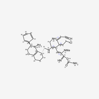 C#C\C=C/C(=C\CCl)C(/N=C(\NC)C(=N)OC(N)=O)=C(\CN)NC[C@@H]1CCCC2=C1N(P)[C@H](c1ccncc1)CO2